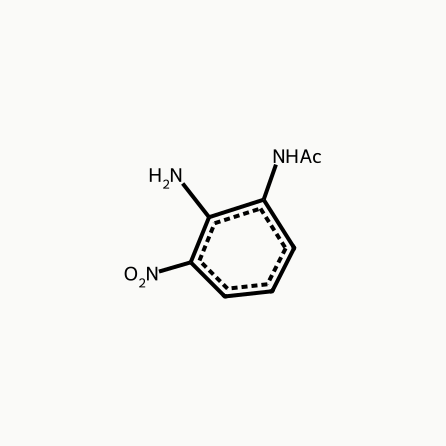 CC(=O)Nc1cccc([N+](=O)[O-])c1N